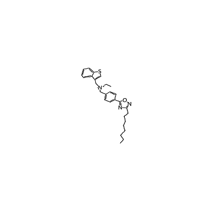 CCCCCCCCc1noc(-c2ccc(C[N+](CC)Cc3csc4ccccc34)cc2)n1